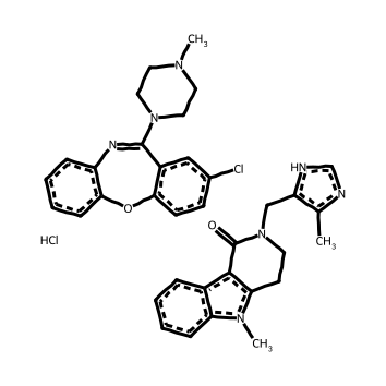 CN1CCN(C2=Nc3ccccc3Oc3ccc(Cl)cc32)CC1.Cc1nc[nH]c1CN1CCc2c(c3ccccc3n2C)C1=O.Cl